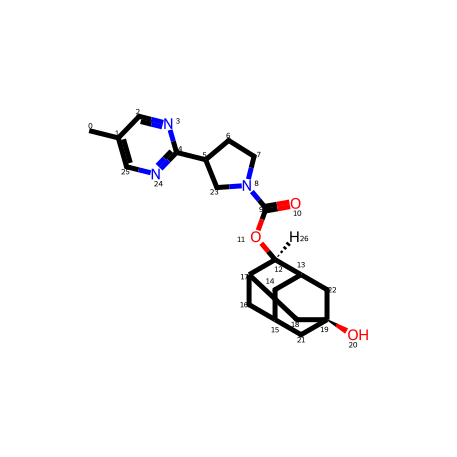 Cc1cnc(C2CCN(C(=O)O[C@H]3C4CC5CC3C[C@@](O)(C5)C4)C2)nc1